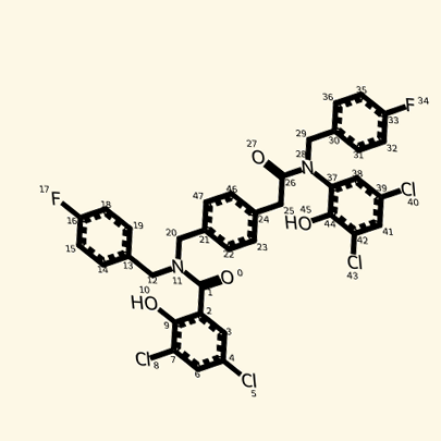 O=C(c1cc(Cl)cc(Cl)c1O)N(Cc1ccc(F)cc1)Cc1ccc(CC(=O)N(Cc2ccc(F)cc2)c2cc(Cl)cc(Cl)c2O)cc1